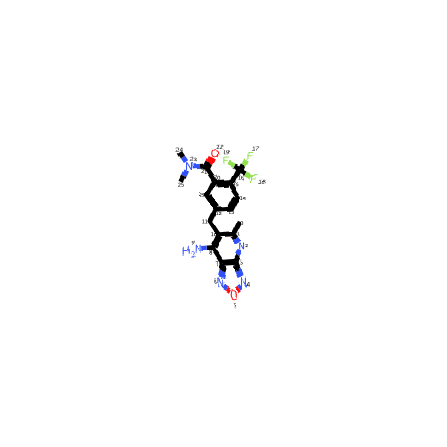 Cc1nc2nonc2c(N)c1Cc1ccc(C(F)(F)F)c(C(=O)N(C)C)c1